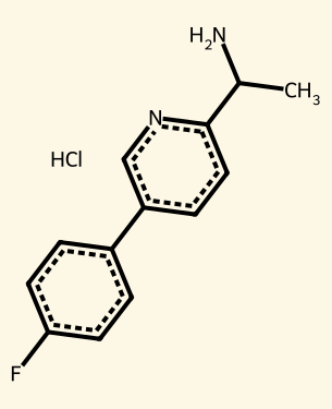 CC(N)c1ccc(-c2ccc(F)cc2)cn1.Cl